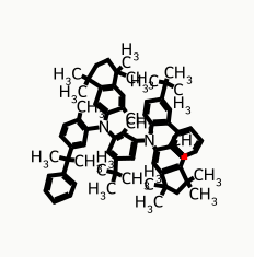 Cc1ccc(C(C)(C)c2ccccc2)cc1N(c1cc2c(cc1C)C(C)(C)CCC2(C)C)c1cc(C(C)(C)C)cc(N(c2cc3c(cc2C)C(C)(C)CC3(C)C)c2ccc(C(C)(C)C)cc2-c2ccccc2)c1C